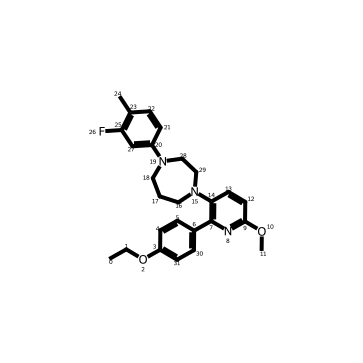 CCOc1ccc(-c2nc(OC)ccc2N2CCCN(c3ccc(C)c(F)c3)CC2)cc1